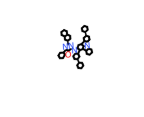 c1ccc(-c2ccc3c(c2)c2c4c5ccccc5n5c6ccc(-c7ccccc7)cc6c(cc2n3-c2nc(-c3ccc6ccccc6c3)nc3c2oc2ccccc23)c45)cc1